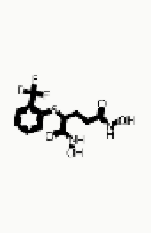 O=C(CCC(Sc1ccccc1C(F)(F)F)C(=O)NO)NO